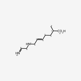 CC(CCC=CCNCC=N)C(=O)O